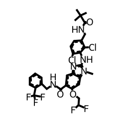 Cn1c(Nc2c(Cl)ccc(CNC(=O)C(C)(C)C)c2Cl)nc2cc(C(=O)NCc3ccccc3C(F)(F)F)c(OCC(F)F)cc21